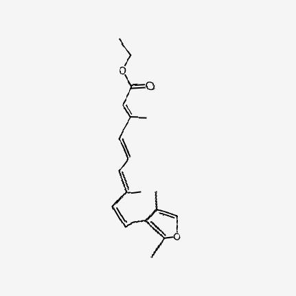 CCOC(=O)/C=C(C)/C=C/C=C(C)/C=C\c1c(C)coc1C